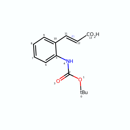 CC(C)(C)OC(=O)Nc1ccccc1/C=C/C(=O)O